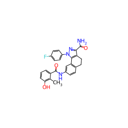 Cc1c(O)cccc1C(=O)Nc1ccc2c(c1)-c1c(c(C(N)=O)nn1-c1ccc(F)cc1)CC2